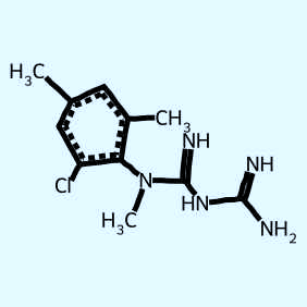 Cc1cc(C)c(N(C)C(=N)NC(=N)N)c(Cl)c1